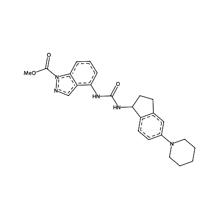 COC(=O)n1ncc2c(NC(=O)NC3CCc4cc(N5CCCCC5)ccc43)cccc21